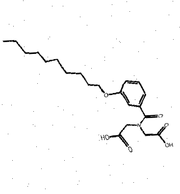 CCCCCCCCCCOc1cccc(C(=O)N(CC(=O)O)CC(=O)O)c1